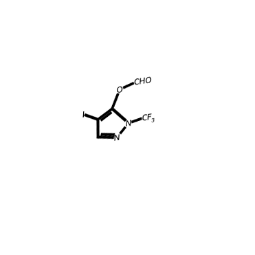 O=COc1c(I)cnn1C(F)(F)F